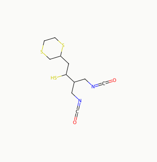 O=C=NCC(CN=C=O)C(S)CC1CSCCS1